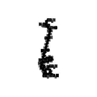 CC(CCC(=O)O)NC(=O)NC(C=O)CCCCNC(=O)CCCCCCC(=O)NCCCCC(NC(=S)Nc1ccc(CC2CN(CC(=O)O)CCN(CC(=O)O)CCN2CC(=O)O)cc1)C(=O)OCc1ccccc1